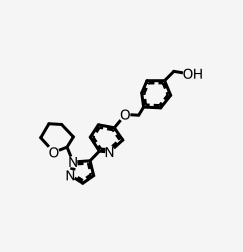 OCc1ccc(COc2ccc(-c3ccnn3C3CCCCO3)nc2)cc1